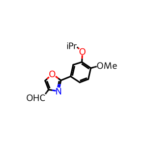 COc1ccc(-c2nc(C=O)co2)cc1OC(C)C